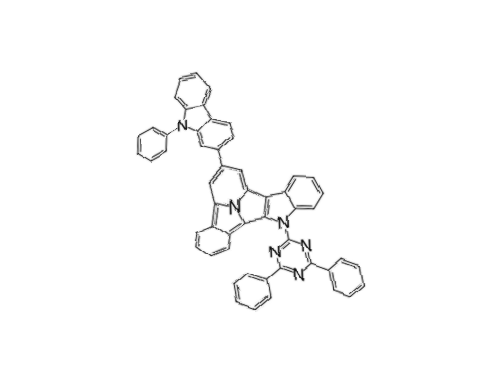 c1ccc(-c2nc(-c3ccccc3)nc(-n3c4ccccc4c4c3c3c5ccccc5c5cc(-c6ccc7c8ccccc8n(-c8ccccc8)c7c6)cc4n53)n2)cc1